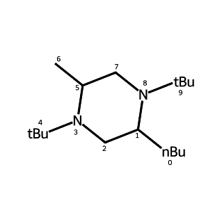 CCCCC1CN(C(C)(C)C)C(C)CN1C(C)(C)C